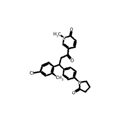 Cc1cc(Cl)ccc1C(CC(=O)c1ccc(=O)n(C)c1)c1ccc(N2CCCC2=O)cc1